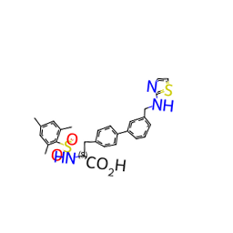 Cc1cc(C)c(S(=O)(=O)N[C@@H](Cc2ccc(-c3cccc(CNc4nccs4)c3)cc2)C(=O)O)c(C)c1